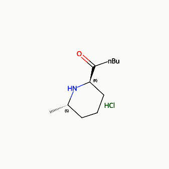 CCCCC(=O)[C@H]1CCC[C@H](C)N1.Cl